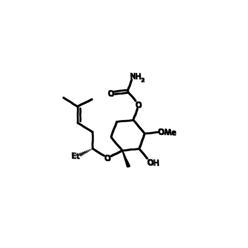 CC[C@H](CC=C(C)C)O[C@]1(C)CCC(OC(N)=O)C(OC)C1O